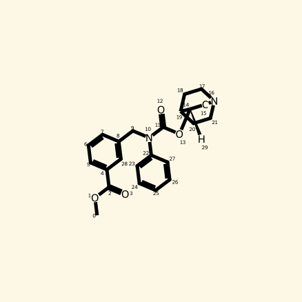 COC(=O)c1cccc(CN(C(=O)O[C@H]2CN3CCC2CC3)c2ccccc2)c1